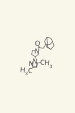 Cc1cc(C)n(C2CCN(C(=O)CC34CC5CC(CC(C5)C3)C4)C2)n1